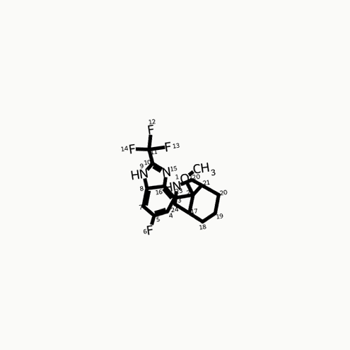 COC1(c2cc(F)cc3[nH]c(C(F)(F)F)nc23)C2CCCC1CNC2